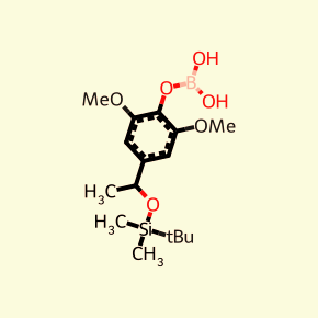 COc1cc(C(C)O[Si](C)(C)C(C)(C)C)cc(OC)c1OB(O)O